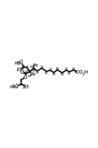 CCCCC(CC)COC(=O)C(CC(CC)CCCC)(C(C)C)C(CCCCCCCCCCC(=O)O)C(C)C